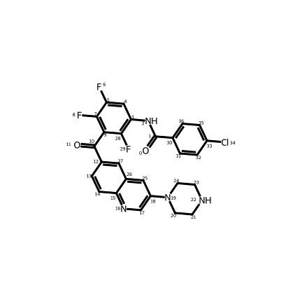 O=C(Nc1cc(F)c(F)c(C(=O)c2ccc3ncc(N4CCNCC4)cc3c2)c1F)c1ccc(Cl)cc1